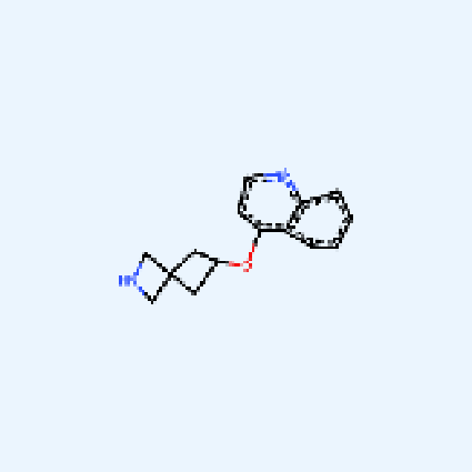 c1ccc2c(OC3CC4(CNC4)C3)ccnc2c1